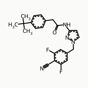 CC(C)(C)c1ccc(CC(=O)Nc2ccn(Cc3cc(F)c(C#N)c(F)c3)n2)cc1